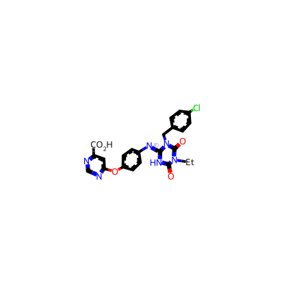 CCn1c(=O)[nH]/c(=N\c2ccc(Oc3cc(C(=O)O)ncn3)cc2)n(Cc2ccc(Cl)cc2)c1=O